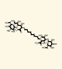 NC(=O)[C@H](OCCCCCCCCCO[C@@H](C(N)=O)[C@@H](O)[C@H](O[C@@H]1O[C@H](CO)[C@H](O)[C@H](O)[C@H]1O)[C@H](O)CO)[C@@H](O)[C@H](O[C@@H]1O[C@H](CO)[C@H](O)[C@H](O)[C@H]1O)[C@H](O)CO